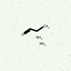 CCC=O.N.N